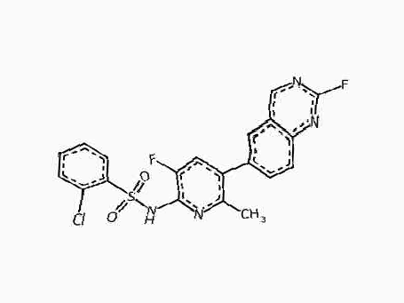 Cc1nc(NS(=O)(=O)c2ccccc2Cl)c(F)cc1-c1ccc2nc(F)ncc2c1